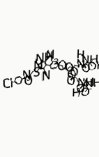 C[C@@H](O)[C@H](N)C(=O)NCCC(=O)OC[C@H](COc1ccc(-c2c(C#N)c(N)nc(SCc3coc(-c4ccc(Cl)cc4)n3)c2C#N)cc1)OC(=O)CCNC(=O)[C@@H](N)[C@@H](C)O